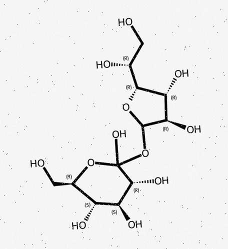 OC[C@@H](O)[C@H]1OC(OC2(O)O[C@H](CO)[C@@H](O)[C@H](O)[C@H]2O)[C@H](O)[C@H]1O